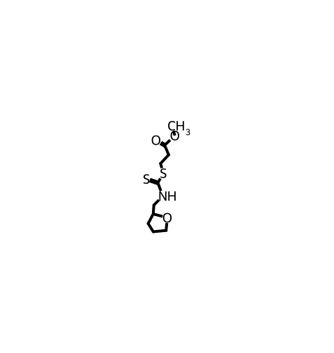 COC(=O)CCSC(=S)NCC1CCCO1